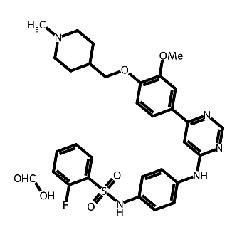 COc1cc(-c2cc(Nc3ccc(NS(=O)(=O)c4ccccc4F)cc3)ncn2)ccc1OCC1CCN(C)CC1.O=CO